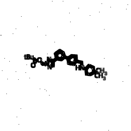 CC1(C)CCC(NCc2ccc(-c3cccc(-c4cnn(COC(=O)C(C)(C)C)n4)c3)cc2)CC1